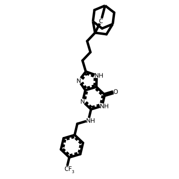 O=c1[nH]c(NCc2ccc(C(F)(F)F)cc2)nc2nc(CCCC34CC5CC(CC3C5)C4)[nH]c12